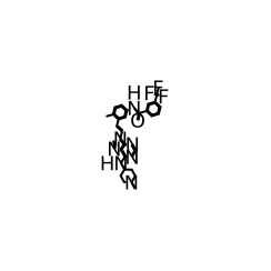 Cc1ccc(NC(=O)c2cccc(C(F)(F)F)c2)cc1C=Cn1cnc2c(NC3CCN(C)CC3)ncnc21